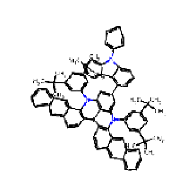 CC(C)(C)c1cc(N2c3cc(-c4cccc5c4c4ccccc4n5-c4ccccc4)cc4c3B(c3ccc5cc6ccccc6cc5c32)c2ccc3cc5ccccc5cc3c2N4c2cc(C(C)(C)C)cc(C(C)(C)C)c2)cc(C(C)(C)C)c1